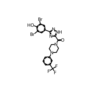 O=C(c1nc(-c2cc(Br)c(O)c(Br)c2)n[nH]1)N1CCN(c2cccc(C(F)(F)F)c2)CC1